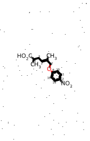 CC(=CCC(C)C(=O)O)COc1ccc([N+](=O)[O-])cc1